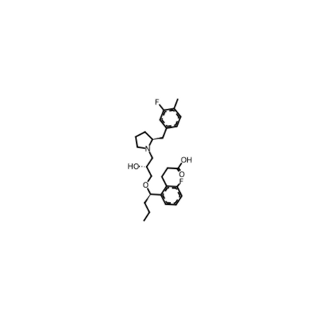 CCC[C@@H](OC[C@H](O)CN1CCC[C@H]1Cc1ccc(C)c(F)c1)c1cccc(F)c1CCC(=O)O